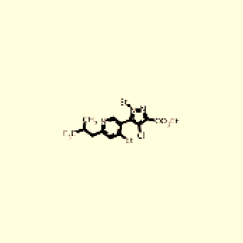 CCOC(=O)c1nn(CC)c(-c2cnc(CC(C)C(F)(F)F)cc2CC)c1Cl